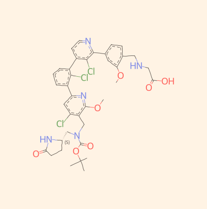 COc1cc(-c2nccc(-c3cccc(-c4cc(Cl)c(CN(C[C@@H]5CCC(=O)N5)C(=O)OC(C)(C)C)c(OC)n4)c3Cl)c2Cl)ccc1CNCC(=O)O